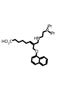 CC(C)N(CCNC/C(=C/CCCCC(=O)O)COc1cccc2ccccc12)C(C)C